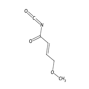 COCC=CC(=O)N=C=O